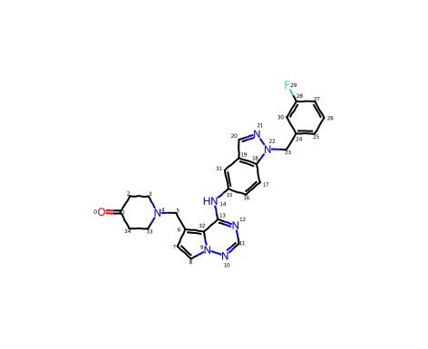 O=C1CCN(Cc2ccn3ncnc(Nc4ccc5c(cnn5Cc5cccc(F)c5)c4)c23)CC1